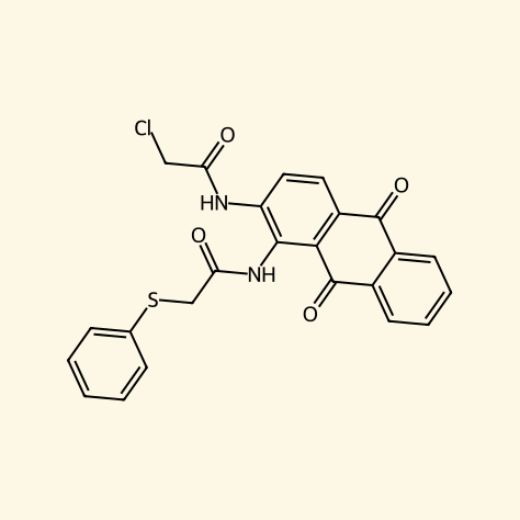 O=C(CCl)Nc1ccc2c(c1NC(=O)CSc1ccccc1)C(=O)c1ccccc1C2=O